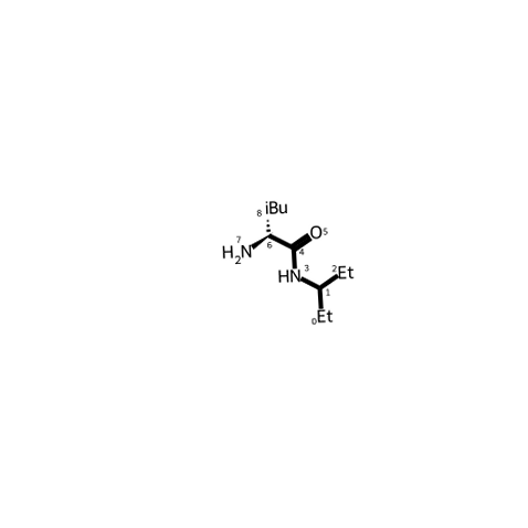 CCC(CC)NC(=O)[C@@H](N)[C@@H](C)CC